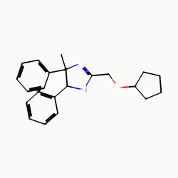 CC1(c2ccccc2)N=C(COC2CCCC2)NC1c1ccccc1